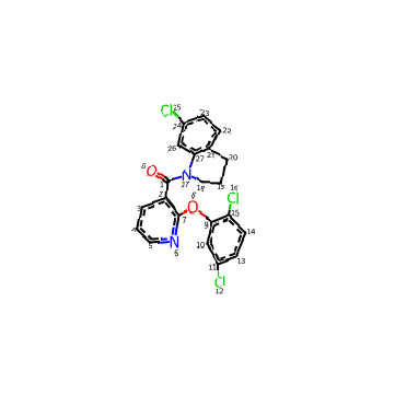 O=C(c1cccnc1Oc1cc(Cl)ccc1Cl)N1CCCc2ccc(Cl)cc21